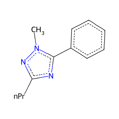 CCCc1nc(-c2ccccc2)n(C)n1